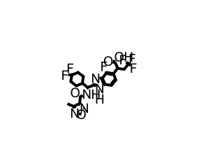 Cc1nonc1C(=O)N[C@H](c1nc2c(F)c(C(CC(F)(F)F)C(=O)O)ccc2[nH]1)C1CCC(F)(F)CC1